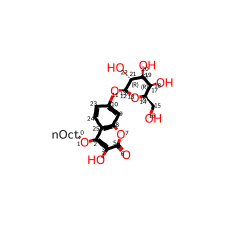 CCCCCCCCOc1c(O)c(=O)oc2cc(O[C@@H]3O[C@H](CO)[C@H](O)[C@H](O)[C@H]3O)ccc12